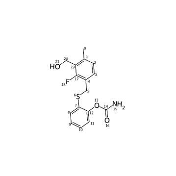 Cc1ccc(CSc2ccccc2OC(N)=O)c(F)c1CO